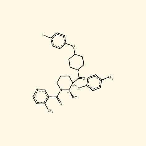 CCC[C@H]1N(C(=O)c2cnccc2C(F)(F)F)CCC[C@@]1(Oc1ccc(C(F)(F)F)cc1)C(=O)N1CCC(Oc2ccc(F)cc2)CC1